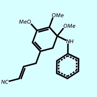 COC1=C(OC)C(Nc2ccccc2)(OC)CC(CC=CC#N)=C1